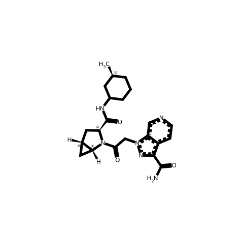 C[C@H]1CCCC(NC(=O)[C@@H]2C[C@H]3C[C@H]3N2C(=O)Cn2nc(C(N)=O)c3ccncc32)C1